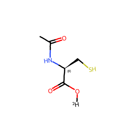 [2H]OC(=O)[C@H](CS)NC(C)=O